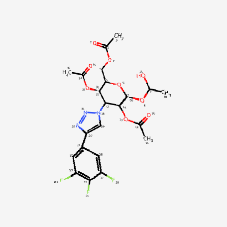 CC(=O)OCC1O[C@@H](OC(C)O)C(OC(C)=O)C(n2cc(-c3cc(F)c(F)c(F)c3)nn2)[C@H]1OC(C)=O